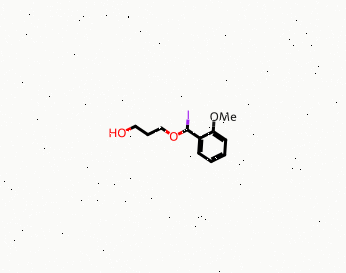 COc1ccccc1C(I)OCCCO